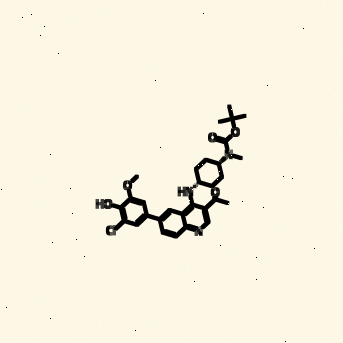 COc1cc(-c2ccc3ncc(C(C)=O)c(N[C@H]4CC[C@H](N(C)C(=O)OC(C)(C)C)CC4)c3c2)cc(Cl)c1O